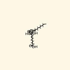 CCCCCCCCCCC(O)(CCCCCCCCC(=O)O)P(=O)(O)O